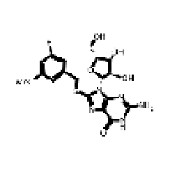 COc1cc(F)cc(CSc2nc3c(=O)[nH]c(N)nc3n2[C@@H]2O[C@H](CO)[C@@H](O)[C@H]2O)c1